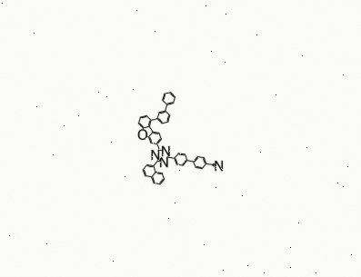 N#Cc1ccc(-c2ccc(-c3nc(-c4ccc5c(c4)oc4cccc(-c6cccc(-c7ccccc7)c6)c45)nc(-c4cccc5ccccc45)n3)cc2)cc1